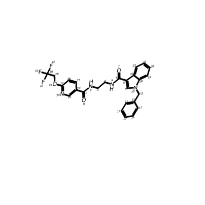 O=C(NCCNC(=O)c1cn(Cc2ccccc2)c2ccccc12)c1ccc(OCC(F)(F)F)nc1